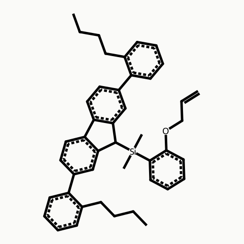 C=CCOc1ccccc1[Si](C)(C)C1c2cc(-c3ccccc3CCCC)ccc2-c2ccc(-c3ccccc3CCCC)cc21